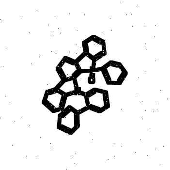 O=P1(c2ccccc2)c2ccccc2-c2ccc3c4ccccc4n(-c4ccccc4-c4ccccc4)c3c21